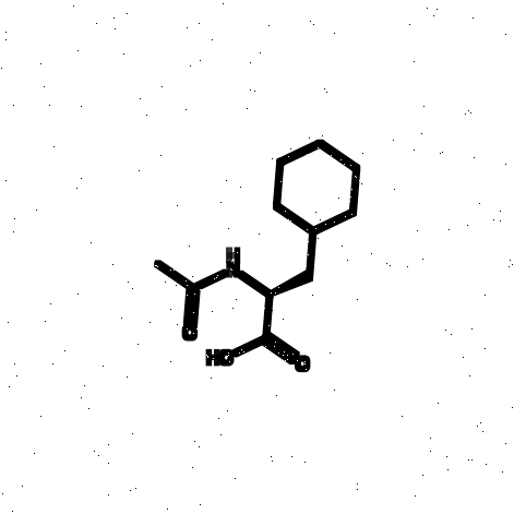 CC(=O)N[C@@H](CC1CCCCC1)C(=O)O